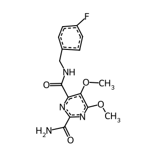 COc1nc(C(N)=O)nc(C(=O)NCc2ccc(F)cc2)c1OC